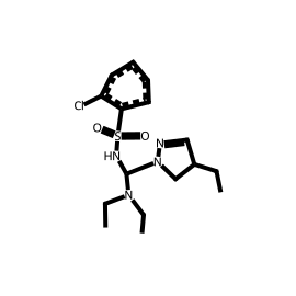 CCC1C=NN(C(NS(=O)(=O)c2ccccc2Cl)N(CC)CC)C1